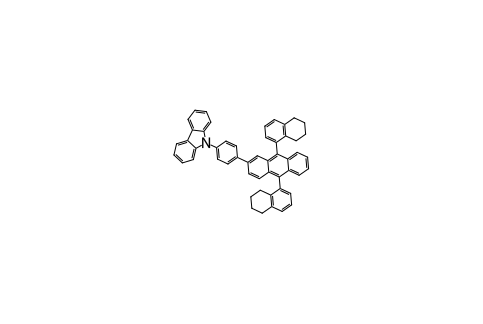 c1cc2c(c(-c3c4ccccc4c(-c4cccc5c4CCCC5)c4cc(-c5ccc(-n6c7ccccc7c7ccccc76)cc5)ccc34)c1)CCCC2